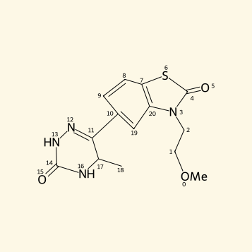 COCCn1c(=O)sc2ccc(C3=NNC(=O)NC3C)cc21